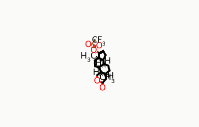 C[C@]12COC(=O)C[C@@H]1CC[C@@H]1[C@@H]2CC[C@]2(C)C(OS(=O)(=O)C(F)(F)F)=CC[C@@H]12